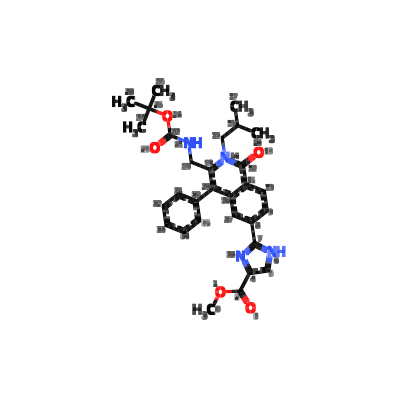 COC(=O)c1c[nH]c(-c2ccc3c(=O)n(CC(C)C)c(CNC(=O)OC(C)(C)C)c(-c4ccccc4)c3c2)n1